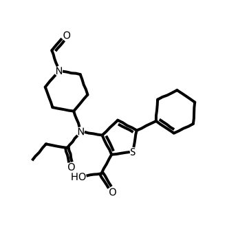 CCC(=O)N(c1cc(C2=CCCCC2)sc1C(=O)O)C1CCN(C=O)CC1